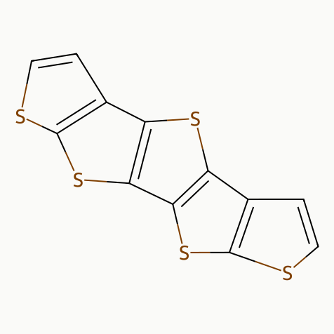 c1cc2c(s1)sc1c2sc2c3ccsc3sc21